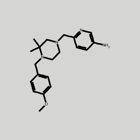 COc1ccc(CN2CCN(Cc3ccc(N)cn3)CC2(C)C)cc1